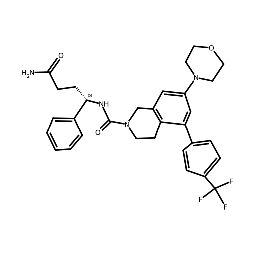 NC(=O)CC[C@H](NC(=O)N1CCc2c(cc(N3CCOCC3)cc2-c2ccc(C(F)(F)F)cc2)C1)c1ccccc1